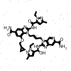 CCn1nc(C)cc1C(=O)Nc1nc2cc(C(N)=O)cc(OCC3CC3)c2n1C/C=C/Cn1c(NC(O)c2cc(C)nn2CC)nc2cc(C(N)=O)ncc21